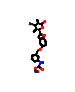 C=C1C(=O)OC(c2cc3cc(OCc4cccc(NC(=O)OC(C)(C)C)c4)ccc3o2)C(=C)C1C(C)=O